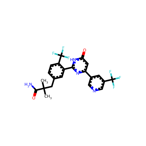 CC(C)(Cc1ccc(C(F)(F)F)c(-c2nc(-c3cncc(C(F)(F)F)c3)cc(=O)[nH]2)c1)C(N)=O